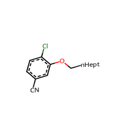 CCCCCCCCOc1cc(C#N)ccc1Cl